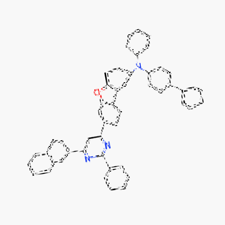 c1ccc(-c2ccc(N(c3ccccc3)c3ccc4oc5cc(-c6cc(-c7ccc8ccccc8c7)nc(-c7ccccc7)n6)ccc5c4c3)cc2)cc1